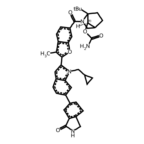 Cc1c(-c2cc3ccc(-c4ccc5c(c4)C(=O)NC5)cc3n2CC2CC2)oc2cc(C(=O)N3CC4CCC3(C(C)(C)C)[C@@H]4OC(N)=O)ccc12